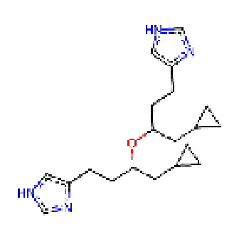 c1nc(CCC(CC2CC2)OC(CCc2c[nH]cn2)CC2CC2)c[nH]1